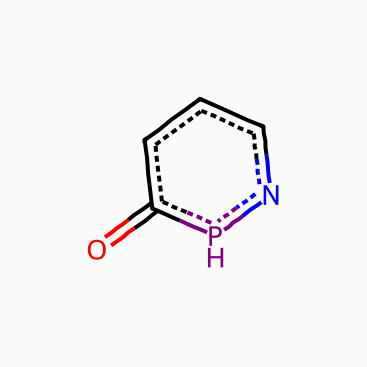 O=c1cccn[pH]1